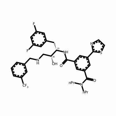 CCCN(CCC)C(=O)c1cc(C(=O)N[C@@H](Cc2cc(F)cc(F)c2)[C@H](O)CNCc2cccc(C(F)(F)F)c2)cc(-c2nccs2)c1